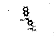 Cl.N=C(N)Nc1ccc(C(=O)Oc2ccc3c(c2)CCCC3)cc1